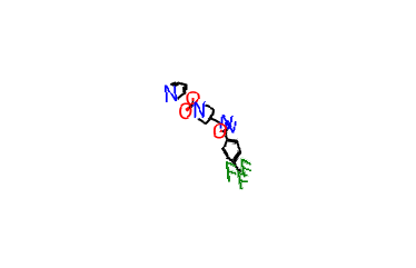 O=C(Oc1cccnc1)N1CCC(c2nnc(-c3ccc(C(F)(F)F)cc3)o2)CC1